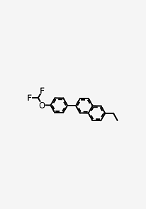 CCc1ccc2cc(-c3ccc(OC(F)F)cc3)ccc2c1